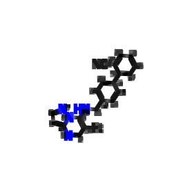 CCc1cnc2ccnn2c1NCc1ccc(-c2ccccc2C#N)cc1